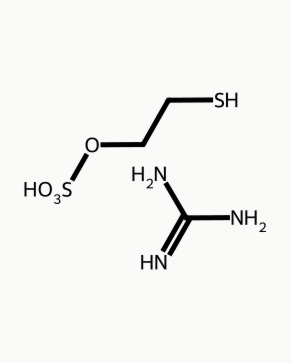 N=C(N)N.O=S(=O)(O)OCCS